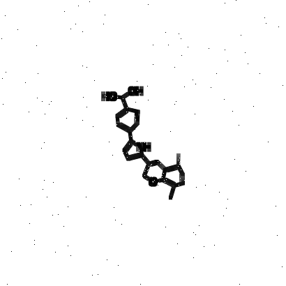 Cc1ccc(C)c2c1C=C(c1ccc(-c3ccc(C(O)O)cc3)[nH]1)CO2